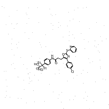 CCC(CC)(c1ccc(NC(=O)CCc2oc(Sc3ccccn3)nc2-c2ccc(Cl)cc2)cc1)P(=O)(O)O